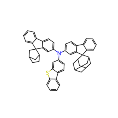 c1ccc2c(c1)-c1ccc(N(c3ccc4c(c3)C3(c5ccccc5-4)C4CC5CC(C4)CC3C5)c3ccc4c(c3)sc3ccccc34)cc1C21CC2CCC1C2